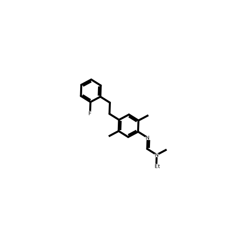 CCN(C)/C=N/c1cc(C)c(CCc2ccccc2F)cc1C